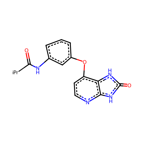 CC(C)C(=O)Nc1cccc(Oc2ccnc3[nH]c(=O)[nH]c23)c1